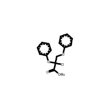 CC(C)COC(=O)C(Cl)(COc1ccccc1)Oc1ccccc1